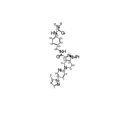 Cc1ccnn1-c1ccc(N2CCc3c(c(C(=O)NCc4ccc(NC(=O)N(C)C)cc4)nn3C(C)C)C2)nc1